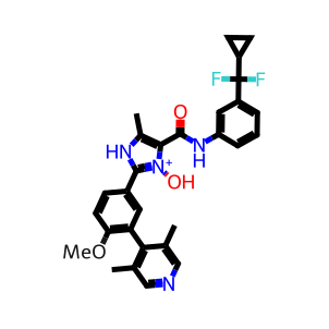 COc1ccc(-c2[nH]c(C)c(C(=O)Nc3cccc(C(F)(F)C4CC4)c3)[n+]2O)cc1-c1c(C)cncc1C